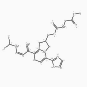 COC(=O)CNC(=O)OCC1CC2=C(C(=N)/C=C\NC(F)F)CN=C(c3nccs3)N2C1